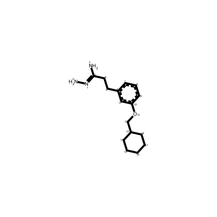 NN=C(N)CCc1cccc(OCC2CCCCC2)c1